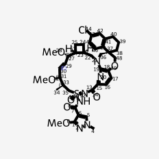 COc1nn(C)cc1C(=O)N[S@@]1(=O)=NC(=O)c2ccc3c(n2)N(C[C@@H]2CC[C@H]2[C@@H](OC)/C=C/[C@H](OC)[C@H](C)C1)C[C@@]1(CCCc2cc(Cl)ccc21)CO3